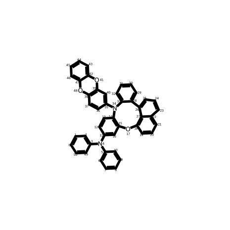 c1ccc(N(c2ccccc2)c2ccc3c(c2)Oc2cccc4cccc(c24)-c2ccccc2N3c2ccc3c(c2)Oc2ccccc2O3)cc1